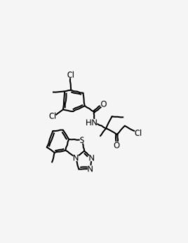 CCC(C)(NC(=O)c1cc(Cl)c(C)c(Cl)c1)C(=O)CCl.Cc1cccc2sc3nncn3c12